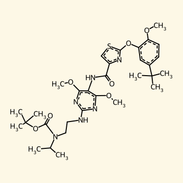 COc1ccc(C(C)(C)C)cc1Oc1nc(C(=O)Nc2c(OC)nc(NCCN(C(=O)OC(C)(C)C)C(C)C)nc2OC)cs1